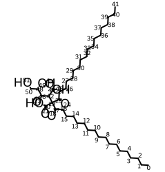 CCCCCCCCCCCCCCCCCC(=O)C(C(=O)O)(C(=O)CCCCCCCCCCCCCCCCC)C(C(=O)O)C(=O)C(O)CO